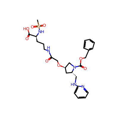 CS(=O)(=O)N[C@@H](CCCNC(=O)CO[C@@H]1C[C@@H](CNc2ccccn2)N(C(=O)OCc2ccccc2)C1)C(=O)O